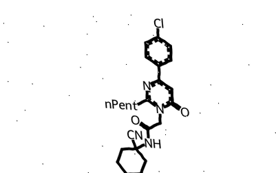 CCCCCc1nc(-c2ccc(Cl)cc2)cc(=O)n1CC(=O)NC1(C#N)CCCCC1